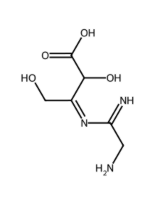 N=C(CN)N=C(CO)C(O)C(=O)O